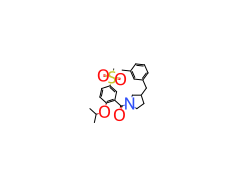 Cc1cccc(CC2CCN(C(=O)c3cc(S(C)(=O)=O)ccc3OC(C)C)C2)c1